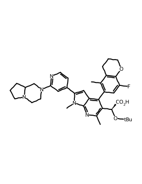 Cc1nc2c(cc(-c3ccnc(N4CCN5CCCC5C4)c3)n2C)c(-c2cc(F)c3c(c2C)CCCO3)c1[C@H](OC(C)(C)C)C(=O)O